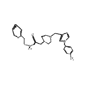 CCN(CCc1ccccn1)C(=O)CC1CCN(Cc2ccn(-c3ccc(C(F)(F)F)cc3)c2)CC1